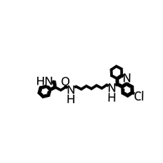 O=C(Cc1c[nH]c2ccccc12)NCCCCCCCNc1c2c(nc3cc(Cl)ccc13)CCCC2